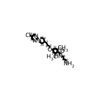 Cc1cc(OCCCC2CCN(c3ncc(Cl)cn3)CC2)cc(C)c1C(=O)NCCCN